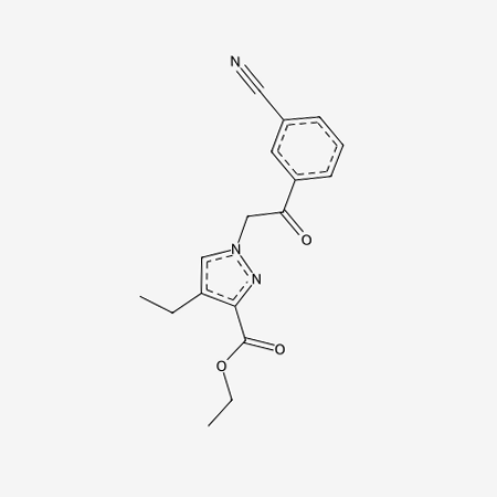 CCOC(=O)c1nn(CC(=O)c2cccc(C#N)c2)cc1CC